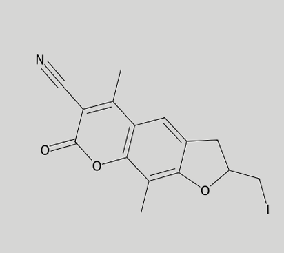 Cc1c(C#N)c(=O)oc2c(C)c3c(cc12)CC(CI)O3